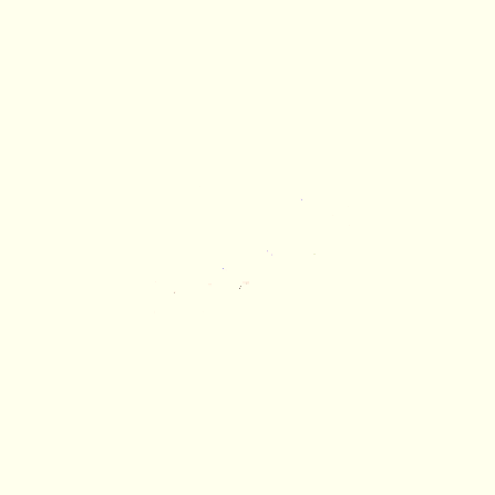 CCOC(=O)c1cnc(C2CC2)c(Br)c1N1CC[C@](C)(NC(=O)OC(C)(C)C)C1